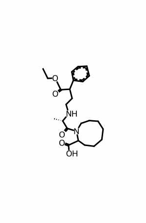 CCOC(=O)C(CCN[C@@H](C)C(=O)N1CCCCCCCC1C(=O)O)c1ccccc1